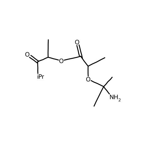 CC(C)C(=O)C(C)OC(=O)C(C)OC(C)(C)N